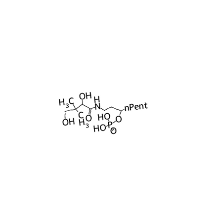 CCCCCC(CCNC(=O)C(O)C(C)(C)CO)OP(=O)(O)O